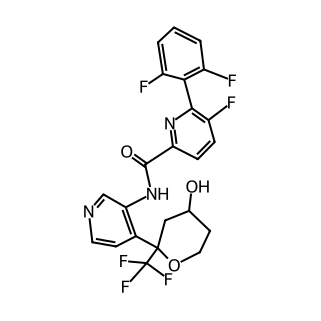 O=C(Nc1cnccc1C1(C(F)(F)F)CC(O)CCO1)c1ccc(F)c(-c2c(F)cccc2F)n1